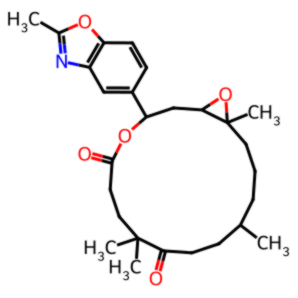 Cc1nc2cc(C3CC4OC4(C)CCCC(C)CCC(=O)C(C)(C)CCC(=O)O3)ccc2o1